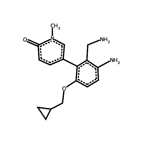 Cn1cc(-c2c(OCC3CC3)ccc(N)c2CN)ccc1=O